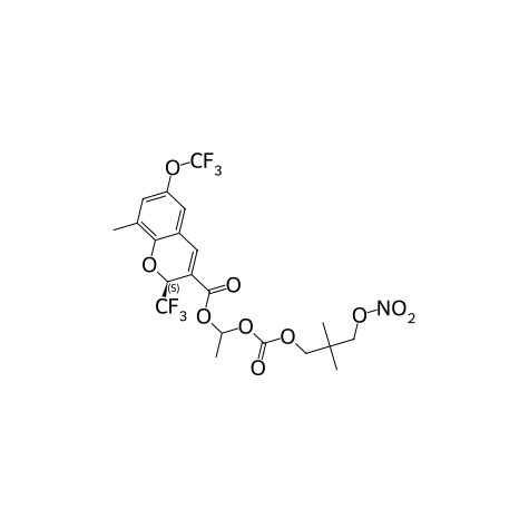 Cc1cc(OC(F)(F)F)cc2c1O[C@H](C(F)(F)F)C(C(=O)OC(C)OC(=O)OCC(C)(C)CO[N+](=O)[O-])=C2